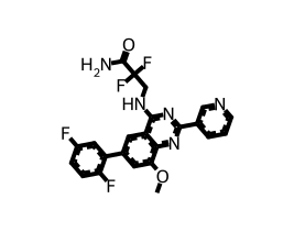 COc1cc(-c2cc(F)ccc2F)cc2c(NCC(F)(F)C(N)=O)nc(-c3cccnc3)nc12